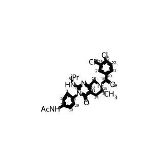 CC(=O)Nc1ccc(-n2c(NC(C)C)nc3c(c2=O)C[C@@H](C)N(C(=O)c2ccc(Cl)c(Cl)c2)C3)cc1